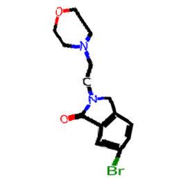 O=C1c2cc(Br)ccc2CN1CCN1CCOCC1